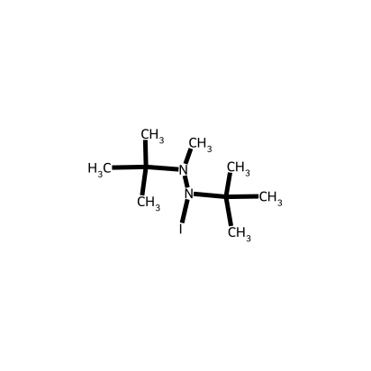 CN(N(I)C(C)(C)C)C(C)(C)C